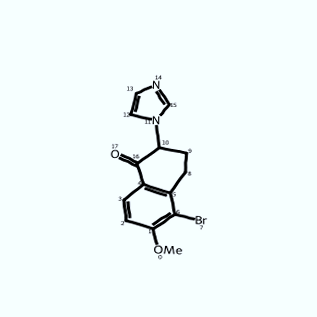 COc1ccc2c(c1Br)CCC(n1ccnc1)C2=O